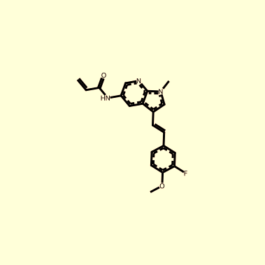 C=CC(=O)Nc1cnc2c(c1)c(C=Cc1ccc(OC)c(F)c1)cn2C